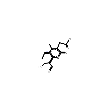 C/C=c1/c(C)c(CC(=O)O)c(=O)o/c1=C(\C=O)CO